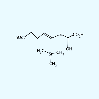 CCCCCCCCCCC=CSC(O)C(=O)O.[CH3][Sn]([CH3])[CH3]